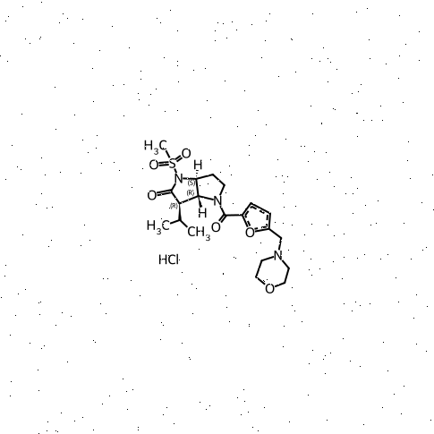 CC(C)[C@H]1C(=O)N(S(C)(=O)=O)[C@H]2CCN(C(=O)c3ccc(CN4CCOCC4)o3)[C@H]12.Cl